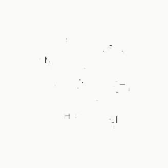 Cc1[c]ncn1C(C)(C)C